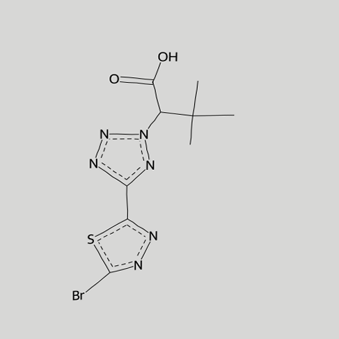 CC(C)(C)C(C(=O)O)n1nnc(-c2nnc(Br)s2)n1